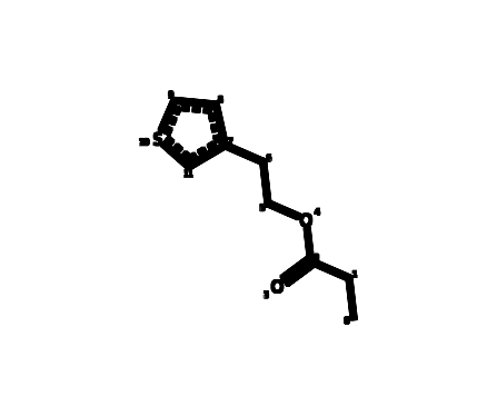 CCC(=O)OCCc1ccsc1